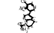 N#Cc1c(Cl)cncc1-c1cnc2c(c1)CCCN2C(N)=O